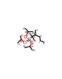 CCCC(C)C(C)(C)[Si](OC(C)C)(OC(C)C)OC(C)C